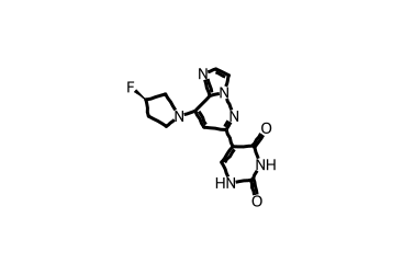 O=c1[nH]cc(-c2cc(N3CC[C@@H](F)C3)c3nccn3n2)c(=O)[nH]1